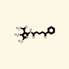 Cc1sc(NC(=O)CCCC(=O)c2ccccc2)c(C(N)=O)c1C